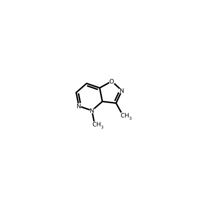 CC1=NOC2=CC=NN(C)C21